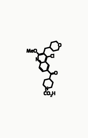 COc1nc2ccc(C(=O)C3CCN(C(=O)O)CC3)cc2c(Cl)c1CC1CCOCC1